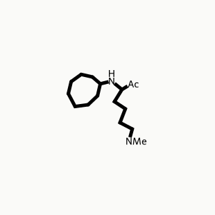 CNCCCCC(NC1CCCCCCC1)C(C)=O